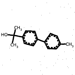 Cc1ccc(-c2ccc(C(C)(C)O)cc2)cc1